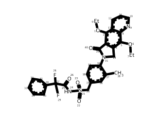 CCOc1c2c(c(OCC)c3ncccc13)CN(c1ccc(CS(=O)(=O)NC(=O)C(F)(F)c3ccccc3)cc1C)C2=O